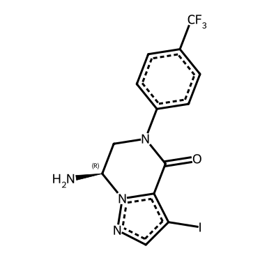 N[C@H]1CN(c2ccc(C(F)(F)F)cc2)C(=O)c2c(I)cnn21